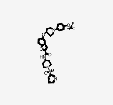 O=C(NC1CCN(S(=O)(=O)c2cccnc2)CC1)c1cc2cc(OC3CCN(c4ccc(OC(F)(F)F)cc4)CC3)ccc2o1